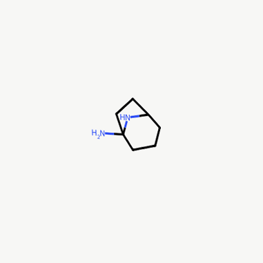 NC12CCCC(CC1)N2